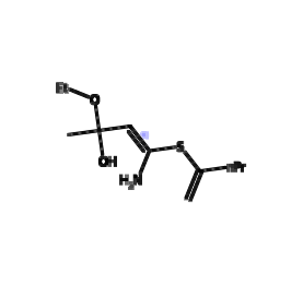 C=C(CCC)S/C(N)=C/C(C)(O)OCC